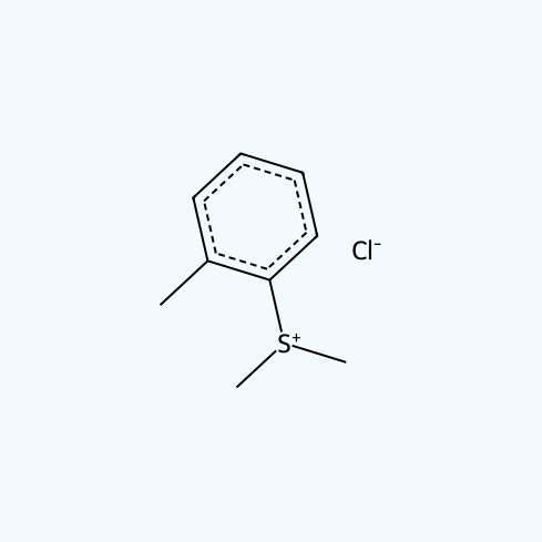 Cc1ccccc1[S+](C)C.[Cl-]